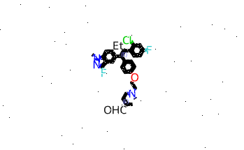 CC/C(=C(/c1ccc(OCCN(C)C/C=C(\C)C=O)cc1)c1ccc2c(c1)c(F)nn2C)c1ccc(F)cc1Cl